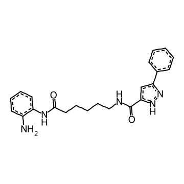 Nc1ccccc1NC(=O)CCCCCNC(=O)c1cc(-c2ccccc2)n[nH]1